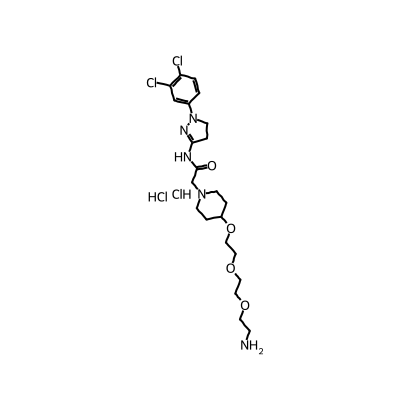 Cl.Cl.NCCOCCOCCOC1CCN(CC(=O)NC2=NN(c3ccc(Cl)c(Cl)c3)CC2)CC1